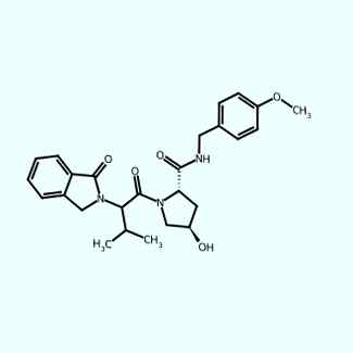 COc1ccc(CNC(=O)[C@@H]2C[C@@H](O)CN2C(=O)C(C(C)C)N2Cc3ccccc3C2=O)cc1